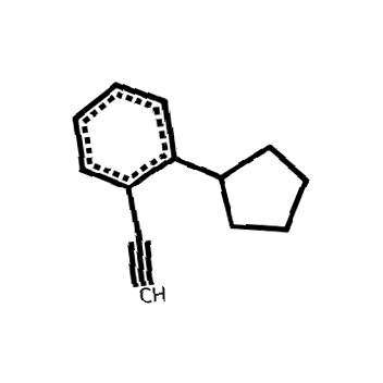 C#Cc1ccccc1C1CCCC1